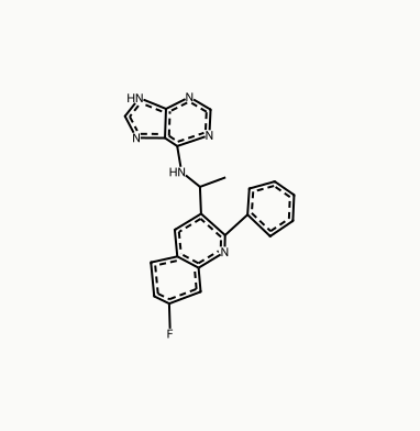 CC(Nc1ncnc2[nH]cnc12)c1cc2ccc(F)cc2nc1-c1ccccc1